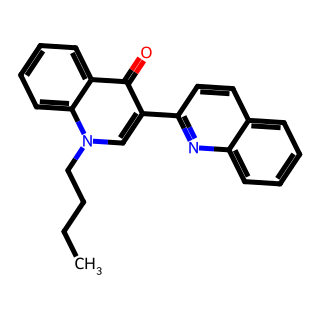 CCCCn1cc(-c2ccc3ccccc3n2)c(=O)c2ccccc21